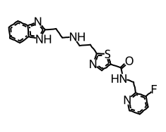 O=C(NCc1ncccc1F)c1cnc(CCNCCc2nc3ccccc3[nH]2)s1